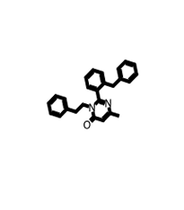 Cc1cc(=O)n(CCc2ccccc2)c(-c2ccccc2Cc2ccccc2)n1